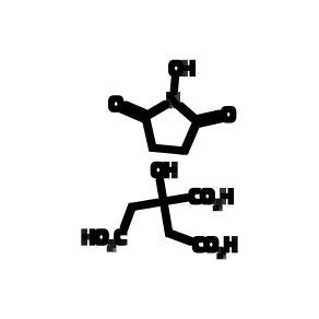 O=C(O)CC(O)(CC(=O)O)C(=O)O.O=C1CCC(=O)N1O